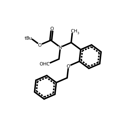 CC(c1ccccc1OCc1ccccc1)N(CC=O)C(=O)OC(C)(C)C